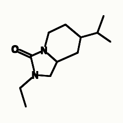 CCN1CC2CC(C(C)C)CCN2C1=O